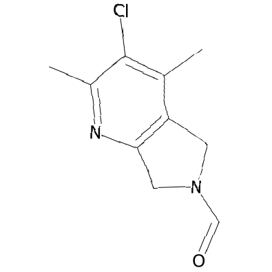 Cc1nc2c(c(C)c1Cl)CN(C=O)C2